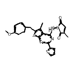 COC1=CC=C(Cc2sc3nc(-c4cccs4)nc(NN4C(=O)C=C(C)C4=O)c3c2C)CC1